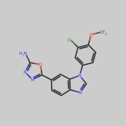 Nc1nnc(-c2ccc3ncn(-c4ccc(OC(F)(F)F)c(Cl)c4)c3c2)o1